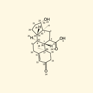 C[C@]12CC(C(=O)O)[C@H]3[C@@H](CCC4=CC(=O)CC[C@@]43C)[C@@H]1CC[C@@H]2O